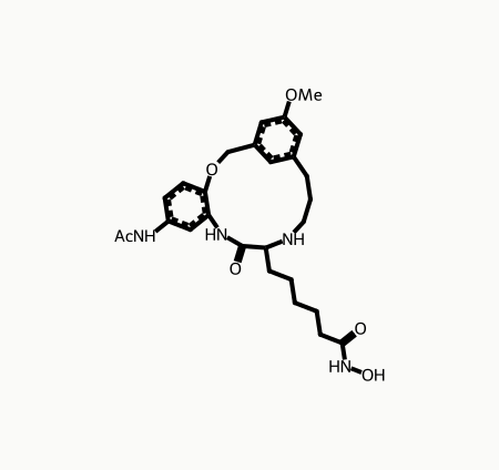 COc1cc2cc(c1)COc1ccc(NC(C)=O)cc1NC(=O)C(CCCCCC(=O)NO)NCCC2